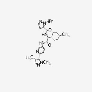 Cc1cnn(C)c1-c1ccc(NC(=O)[C@@H](NC(=O)c2ccnn2C(C)C)[C@H]2CC[C@H](C)CC2)cn1